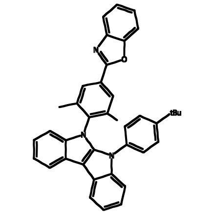 Cc1cc(-c2nc3ccccc3o2)cc(C)c1-n1c2ccccc2c2c3ccccc3n(-c3ccc(C(C)(C)C)cc3)c21